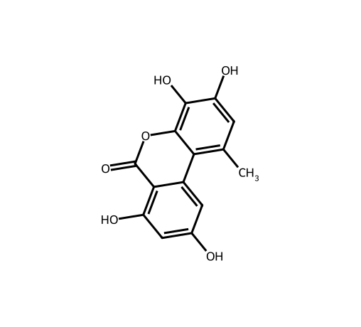 Cc1cc(O)c(O)c2oc(=O)c3c(O)cc(O)cc3c12